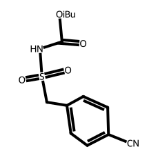 CC(C)COC(=O)NS(=O)(=O)Cc1ccc(C#N)cc1